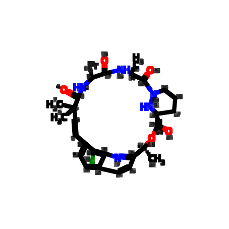 CC(C)[C@@H]1NC(=O)C(C)(C)/C=C/c2ccc3ccc(nc3c2F)[C@@H](C)OC(=O)[C@@H]2CCCN(N2)C(=O)[C@H](C)NC1=O